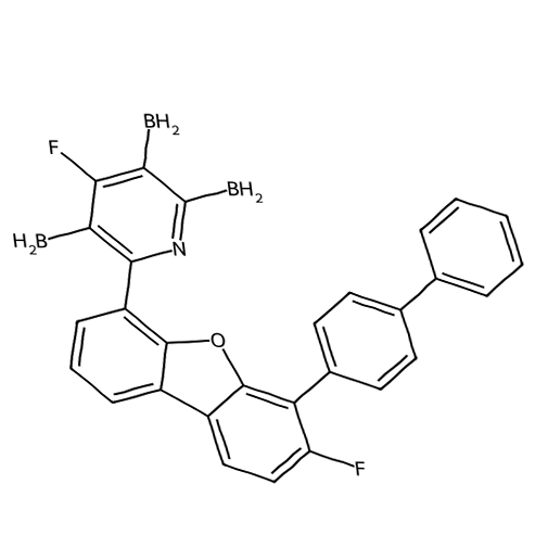 Bc1nc(-c2cccc3c2oc2c(-c4ccc(-c5ccccc5)cc4)c(F)ccc23)c(B)c(F)c1B